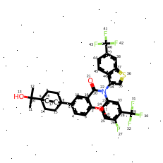 COc1ccc(C23CCC(C(C)(C)O)(CC2)CC3)cc1C(=O)N(c1ccc(F)c(C(F)(F)F)c1)c1csc2cc(C(F)(F)F)ccc12